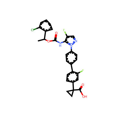 CC(OC(=O)Nc1c(F)cnn1-c1ccc(-c2ccc(C3(C(=O)O)CC3)cc2F)cc1)c1ccccc1Cl